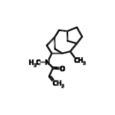 C=CC(=O)N(C)C1CC2CC3CCC(C3)C(C)C1C2